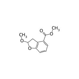 COC(=O)c1cccc2c1CC(OC)O2